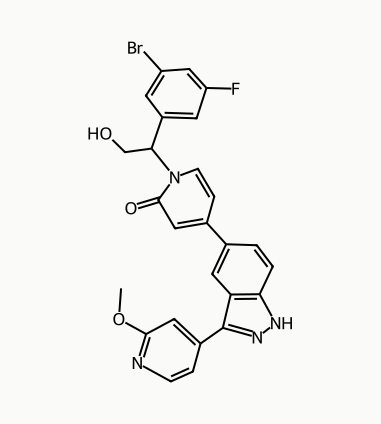 COc1cc(-c2n[nH]c3ccc(-c4ccn(C(CO)c5cc(F)cc(Br)c5)c(=O)c4)cc23)ccn1